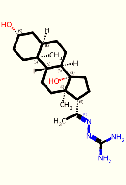 C/C(=N\N=C(N)N)[C@H]1CC[C@]2(O)[C@@H]3CC[C@@H]4C[C@@H](O)CC[C@]4(C)[C@H]3CC[C@]12C